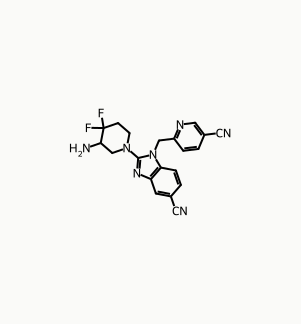 N#Cc1ccc(Cn2c(N3CCC(F)(F)C(N)C3)nc3cc(C#N)ccc32)nc1